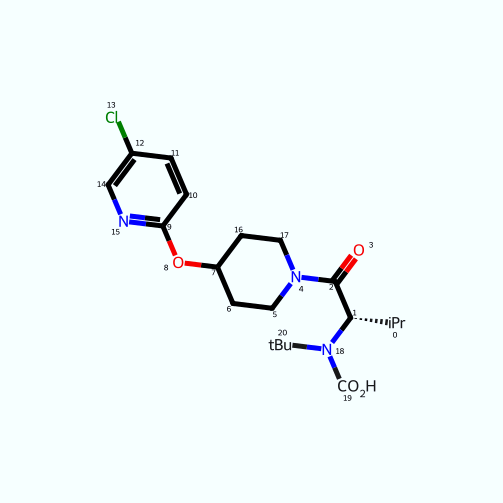 CC(C)[C@@H](C(=O)N1CCC(Oc2ccc(Cl)cn2)CC1)N(C(=O)O)C(C)(C)C